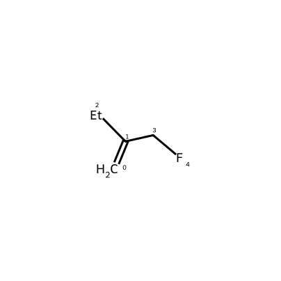 C=C(CC)CF